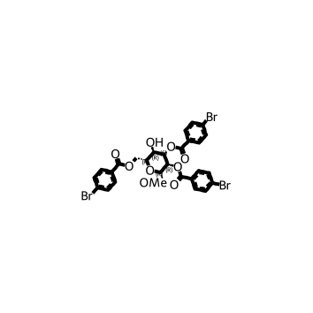 CO[C@@H]1O[C@H](COC(=O)c2ccc(Br)cc2)[C@@H](O)[C@H](OC(=O)c2ccc(Br)cc2)[C@H]1OC(=O)c1ccc(Br)cc1